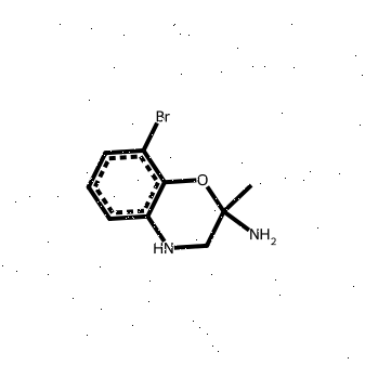 CC1(N)CNc2cccc(Br)c2O1